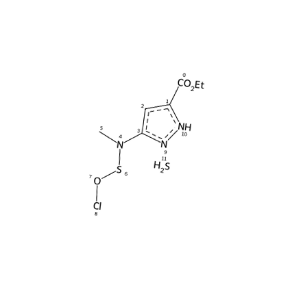 CCOC(=O)c1cc(N(C)SOCl)n[nH]1.S